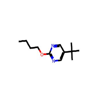 CCCCOc1ncc(C(C)(C)C)cn1